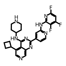 Fc1cc(F)c(F)c(Nc2cc(-c3nc(NC4CCNCC4)c4c(C5CCC5)cncc4n3)ccn2)n1